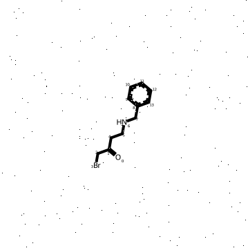 O=C(CBr)CCNCc1ccccc1